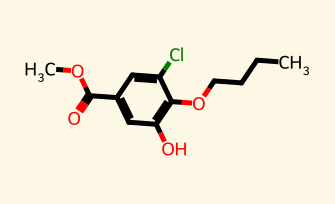 CCCCOc1c(O)cc(C(=O)OC)cc1Cl